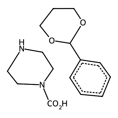 O=C(O)N1CCNCC1.c1ccc(C2OCCCO2)cc1